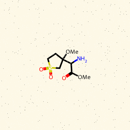 COC(=O)C(N)C1(OC)CCS(=O)(=O)C1